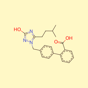 CC(C)CCc1nc(O)nn1Cc1ccc(-c2ccccc2C(=O)O)cc1